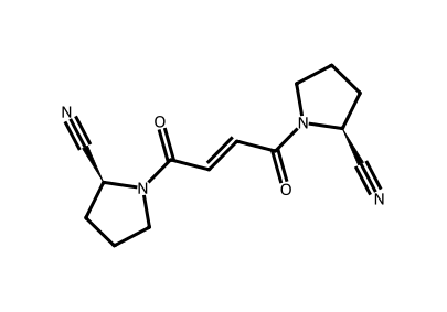 N#C[C@@H]1CCCN1C(=O)/C=C/C(=O)N1CCC[C@H]1C#N